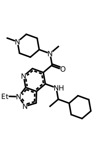 CCn1ncc2c(NC(C)C3CCCCC3)c(C(=O)N(C)C3CCN(C)CC3)cnc21